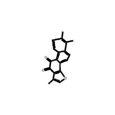 Cc1coc2c1C(=O)C(=O)c1c-2ccc2c(C)c(C)ccc12